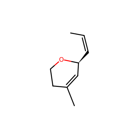 C/C=C\[C@H]1C=C(C)CCO1